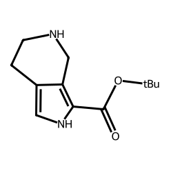 CC(C)(C)OC(=O)c1[nH]cc2c1CNCC2